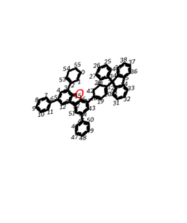 C1=CC(c2cc(-c3ccccc3)cc3c2oc2c(C4=CC=C(C5(c6ccccc6)c6ccccc6-c6ccccc65)CC4)cc(-c4ccccc4)cc23)=CCC1